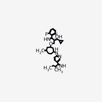 C=C1CCC(Nc2ccc(C(=N)[C@H](C)CC)cn2)CC(OC/C(C(=N)c2c(F)cccc2F)=C(/O)C2CC2)C1